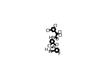 CCN(C(=O)c1cc(NC(=O)C2C(c3cc(Cl)cc(Cl)c3)C2(Cl)Cl)ccc1Cl)c1ccc(F)cc1C#N